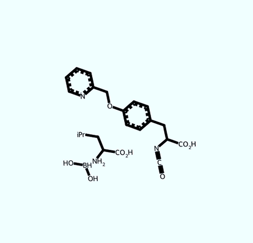 CC(C)CC(N)C(=O)O.O=C=NC(Cc1ccc(OCc2ccccn2)cc1)C(=O)O.OBO